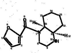 O=C(c1ccco1)N1CCN[C@@H]2CCCC[C@@H]21